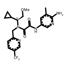 COC[C@H](C1CC1)N(Cc1ccc(C(F)(F)F)cn1)C(=O)C(=O)Nc1cnc(N)c(C)c1